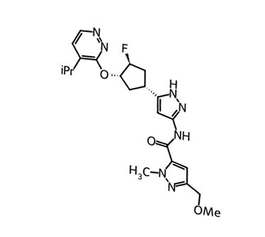 COCc1cc(C(=O)Nc2cc([C@@H]3C[C@H](Oc4nnccc4C(C)C)[C@@H](F)C3)[nH]n2)n(C)n1